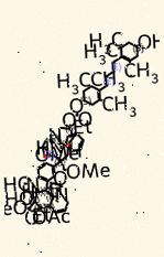 CC[C@]1(OC(=O)O[C@@H]2CC(C)=C(/C=C/C=C/C3=C(C)C[C@@H](O)CC3(C)C)C(C)(C)C2)C[C@H]2C[N@](CC/C=C(\Nc3ccccc3)[C@@](C(=O)OC)(c3cc4c(cc3OC)N(C=O)[C@H]3[C@@](O)(C(=O)OC)[C@H](OC(C)=O)[C@]5(CC)C=CCN6CC[C@]43[C@@H]65)C2)C1